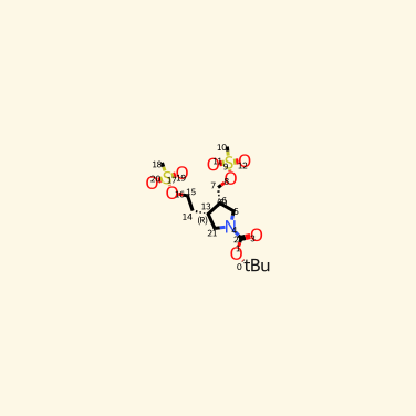 CC(C)(C)OC(=O)N1C[C@@H](COS(C)(=O)=O)[C@@H](CCOS(C)(=O)=O)C1